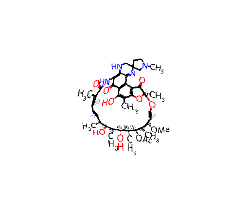 CO[C@H]1/C=C/O[C@@]2(C)Oc3c(C)c(O)c4c(c3C2=O)C2=NC3(CCN(C)C3)CNC2=C(NC(=O)/C(C)=C\C=C\[C@H](C)[C@H](O)[C@@H](C)[C@@H](O)[C@@H](C)[C@H](OC(C)=O)[C@@H]1C)C4=O